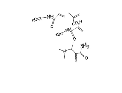 C=C(C(N)=O)C(C)N(C)C.C=C(C)C(=O)O.C=CC(=O)NC(C)(C)C.C=CC(=O)NCCCCCCCC